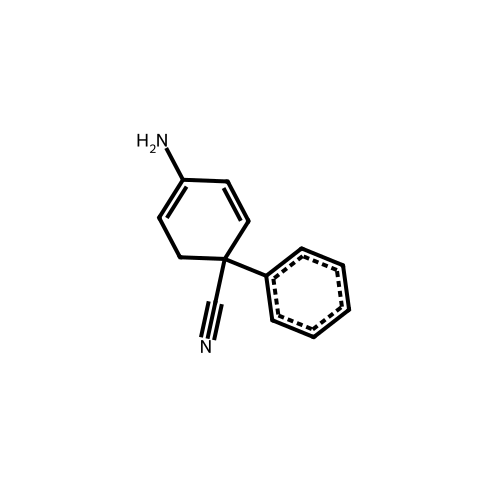 N#CC1(c2ccccc2)C=CC(N)=CC1